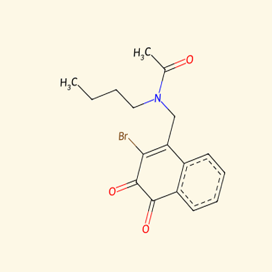 CCCCN(CC1=C(Br)C(=O)C(=O)c2ccccc21)C(C)=O